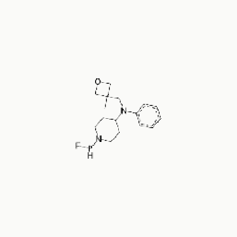 CC1(CN(c2ccccc2)C2CCN(PF)CC2)COC1